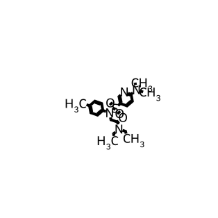 CCN(CC)C(=O)CN(c1ccc(C)cc1)S(=O)(=O)c1ccc(N(C)C)nc1